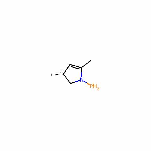 CC1=C[C@@H](C)CN1P